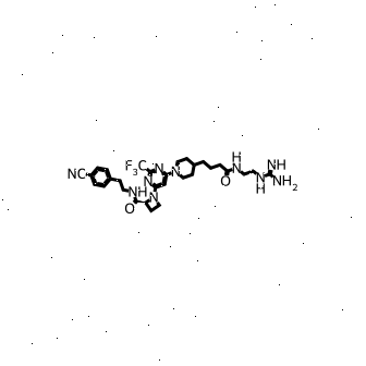 N#Cc1ccc(CCNC(=O)[C@@H]2CCN2c2cc(N3CCC(CCCC(=O)NCCNC(=N)N)CC3)nc(C(F)(F)F)n2)cc1